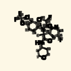 CC(C(=O)NC1CCOCC1)(c1cncc(F)c1)N(C(=O)C(F)Cl)c1ccc(OC(F)(F)Cl)cc1